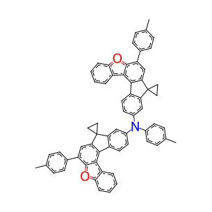 Cc1ccc(-c2cc3c(c4c2oc2ccccc24)-c2ccc(N(c4ccc(C)cc4)c4ccc5c(c4)C4(CC4)c4cc(-c6ccc(C)cc6)c6oc7ccccc7c6c4-5)cc2C32CC2)cc1